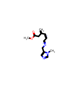 C=C(/C=C\C=N\Cc1cncn1C)CC(=O)OC